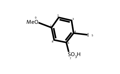 COc1ccc(I)c(S(=O)(=O)O)c1